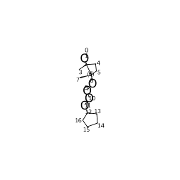 COC1(C)CC[C@]1(C)OOOOC1CCCC1